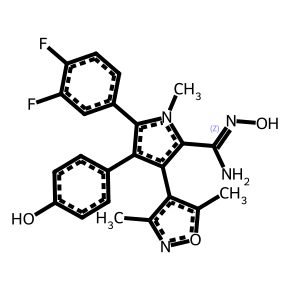 Cc1noc(C)c1-c1c(-c2ccc(O)cc2)c(-c2ccc(F)c(F)c2)n(C)c1/C(N)=N/O